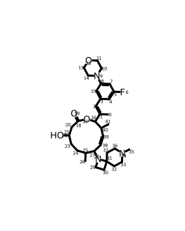 C/C(=C\c1cc(F)cc(N2CCOCC2)c1)C1OC(=O)CC(O)CCC(C)C(N2CCC23CCN(C)CC3)C=CC1C